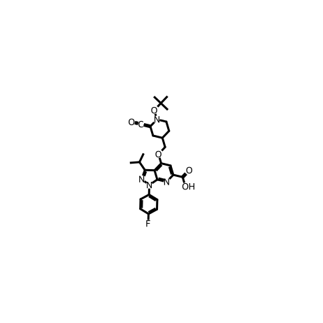 CC(C)c1nn(-c2ccc(F)cc2)c2nc(C(=O)O)cc(OCC3CCN(OC(C)(C)C)C(=C=O)C3)c12